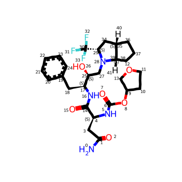 NC(=O)C[C@H](NC(=O)OC1CCOC1)C(=O)N[C@@H](Cc1ccccc1)[C@@H](O)CN1[C@H](C(F)(F)F)C[C@@H]2CCC[C@@H]21